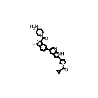 NC1CCN(C(=O)c2n[nH]c3ccc(-c4cnc5[nH]c(C6=CCN(C(=O)C7CC7)C6)cc5c4)cc23)CC1